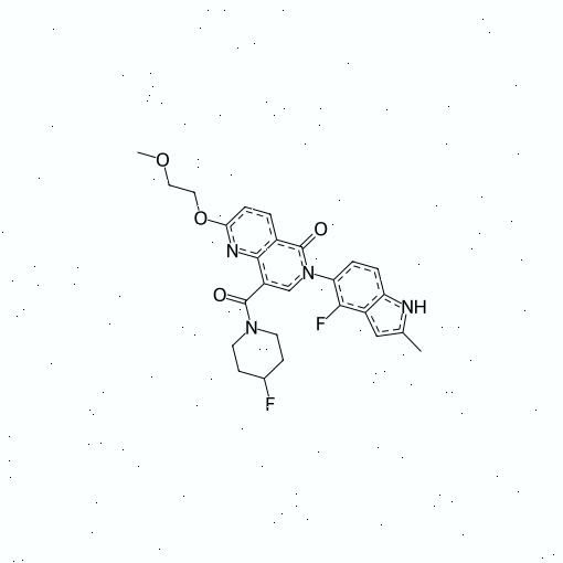 COCCOc1ccc2c(=O)n(-c3ccc4[nH]c(C)cc4c3F)cc(C(=O)N3CCC(F)CC3)c2n1